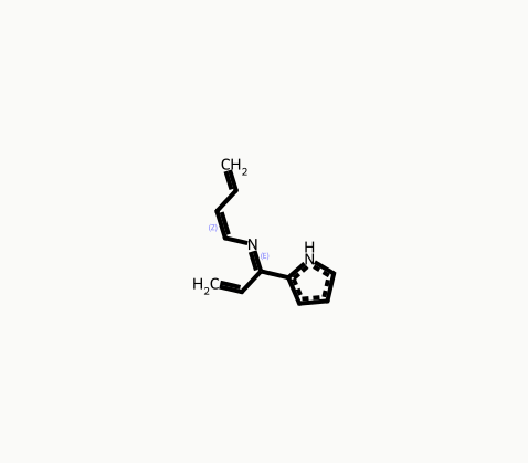 C=C/C=C\N=C(/C=C)c1ccc[nH]1